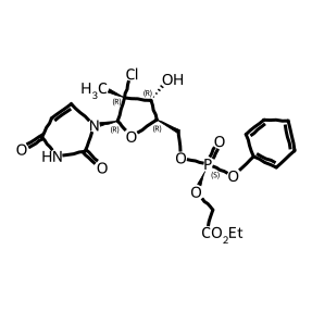 CCOC(=O)CO[P@](=O)(OC[C@H]1O[C@@H](n2ccc(=O)[nH]c2=O)[C@](C)(Cl)[C@@H]1O)Oc1ccccc1